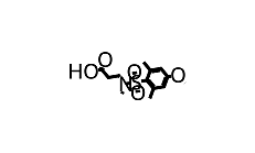 COc1cc(C)c(S(=O)(=O)N(C)CCC(=O)O)c(C)c1